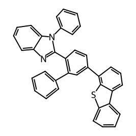 c1ccc(-c2cc(-c3cccc4c3sc3ccccc34)ccc2-c2nc3ccccc3n2-c2ccccc2)cc1